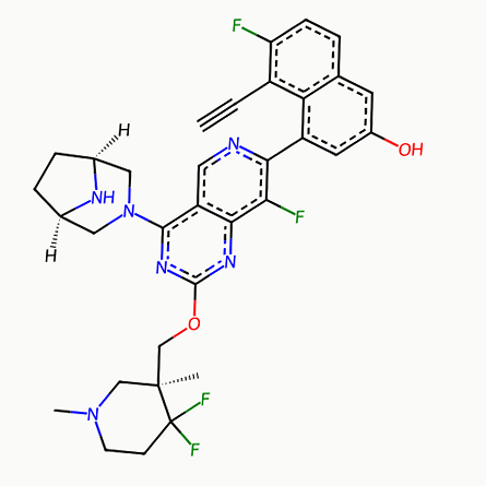 C#Cc1c(F)ccc2cc(O)cc(-c3ncc4c(N5C[C@H]6CC[C@@H](C5)N6)nc(OC[C@]5(C)CN(C)CCC5(F)F)nc4c3F)c12